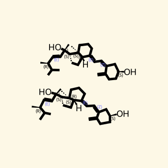 C=C1CC[C@H](O)C/C1=C/C=C1\CCC[C@@]2(C)[C@H]1CC[C@@H]2[C@@](C)(O)/C=C/[C@H](C)C(C)C.C=C1CC[C@H](O)C/C1=C/C=C1\CCC[C@@]2(C)[C@H]1CC[C@@H]2[C@@](C)(O)/C=C/[C@H](C)C(C)C